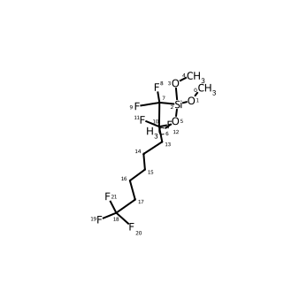 CO[Si](OC)(OC)C(F)(F)C(F)(F)CCCCCC(F)(F)F